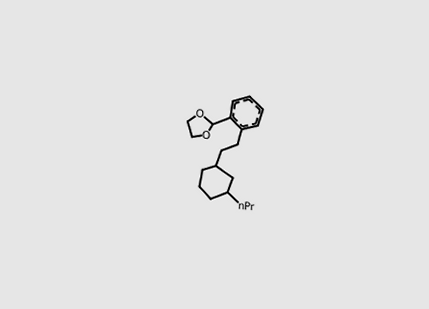 CCCC1CCCC(CCc2ccccc2C2OCCO2)C1